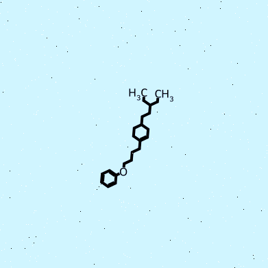 CCC(CC)CCC1CC=C(CCCCOc2ccccc2)CC1